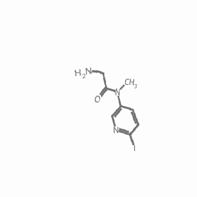 CN(C(=O)CN)c1ccc(I)nc1